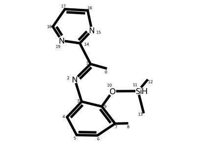 CC(=Nc1cccc(C)c1O[SiH](C)C)c1ncccn1